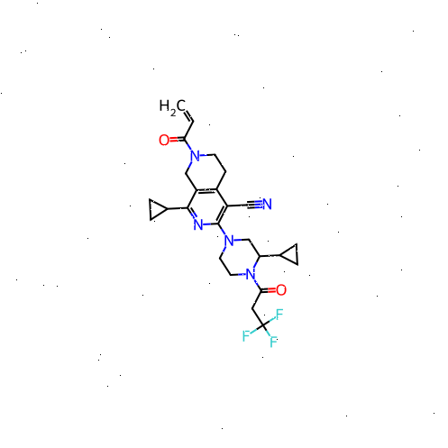 C=CC(=O)N1CCc2c(C#N)c(N3CCN(C(=O)CC(F)(F)F)C(C4CC4)C3)nc(C3CC3)c2C1